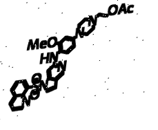 COc1cc(N2CCN(CCOC(C)=O)CC2)ccc1Nc1cc2c(ccn2S(=O)(=O)c2cccc3cccnc23)cn1